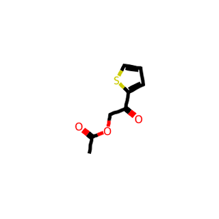 CC(=O)OCC(=O)c1cccs1